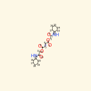 O=C(COC(=O)/C=C/C(=O)OCC(=O)NC1CCCCC1)NC1CCCCC1